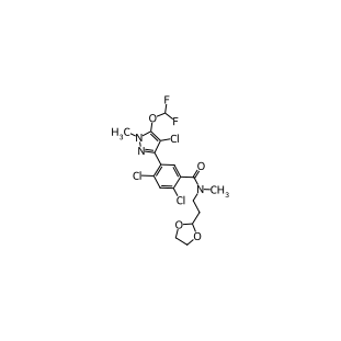 CN(CCC1OCCO1)C(=O)c1cc(-c2nn(C)c(OC(F)F)c2Cl)c(Cl)cc1Cl